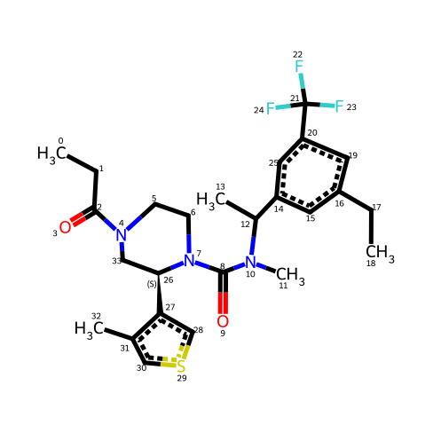 CCC(=O)N1CCN(C(=O)N(C)C(C)c2cc(CC)cc(C(F)(F)F)c2)[C@@H](c2cscc2C)C1